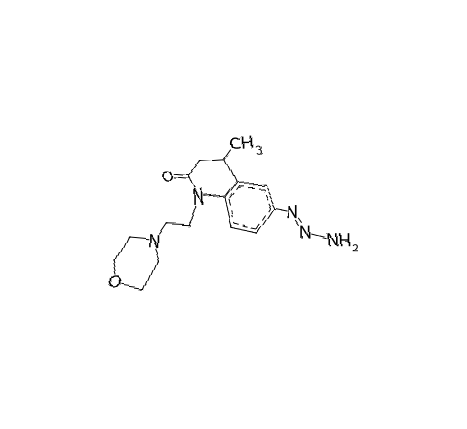 CC1CC(=O)N(CCN2CCOCC2)c2ccc(N=NN)cc21